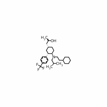 C=C(O)C[C@@H]1CC[C@@H](N(CCC2CCCCC2)CC(C)C)[C@H](c2ccc(C(F)(F)F)cc2)C1